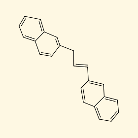 C(=C\c1ccc2ccccc2c1)/Cc1ccc2ccccc2c1